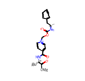 CC[C@H](C)[C@H](NC(=O)c1cc[n+](COC(=O)N[C@@H](C)Cc2ccccc2)cc1)C(=O)OC